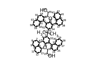 CC(C)(c1cc(-c2cccc3ccccc23)c(OCCO)c(-c2cccc3ccccc23)c1)c1cc(-c2cccc3ccccc23)c(OCCO)c(-c2cccc3ccccc23)c1